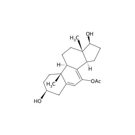 CC(=O)OC1=C2[C@@H]3CC[C@H](O)[C@@]3(C)CC[C@@H]2[C@@]2(C)CC[C@H](O)CC2=C1